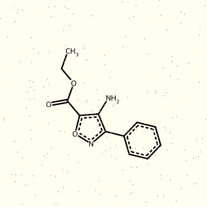 CCOC(=O)c1onc(-c2ccccc2)c1N